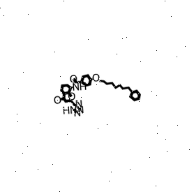 O=C(Nc1cccc2c(=O)cc(-c3nnn[nH]3)oc12)c1ccc(OCCCCCCCCc2ccccc2)cc1